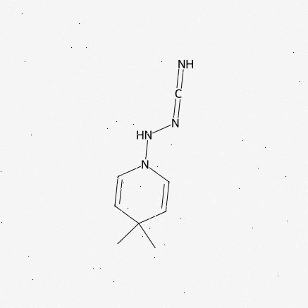 CC1(C)C=CN(NN=C=N)C=C1